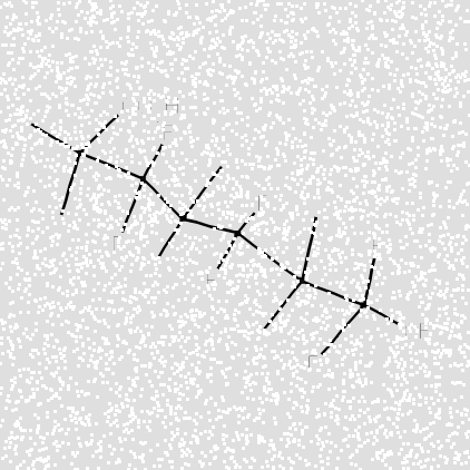 CC(C)(C(=O)O)C(F)(F)C(C)(C)C(F)(F)C(C)(C)C(F)(F)C(F)(F)F